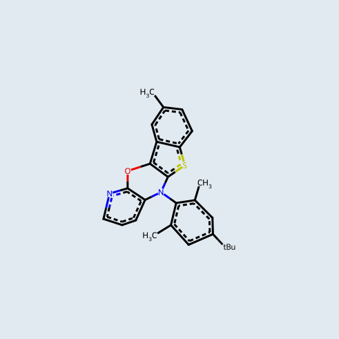 Cc1ccc2sc3c(c2c1)Oc1ncccc1N3c1c(C)cc(C(C)(C)C)cc1C